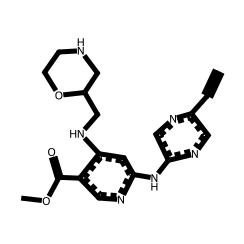 C#Cc1cnc(Nc2cc(NCC3CNCCO3)c(C(=O)OC)cn2)cn1